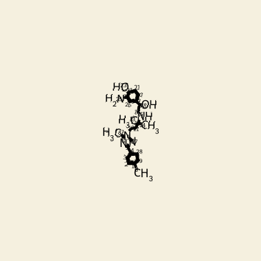 Cc1ccc(-c2nc(C)n(CCC(C)(C)NCC(O)c3ccc(O)c(N)c3)n2)cc1